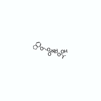 C=C(C)C(O)OCCNC(=O)OCCOc1cccc2c1CCC2